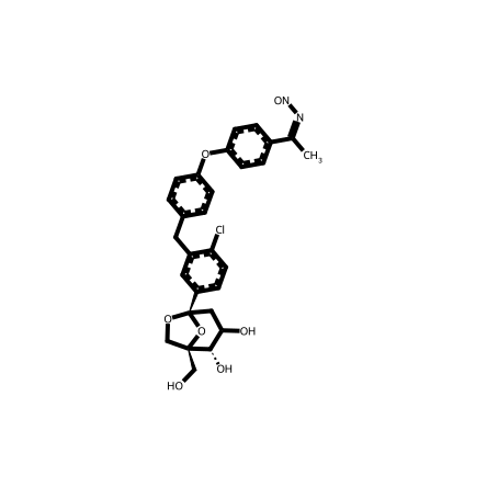 C/C(=N/N=O)c1ccc(Oc2ccc(Cc3cc([C@]45CC(O)[C@H](O)[C@](CO)(CO4)O5)ccc3Cl)cc2)cc1